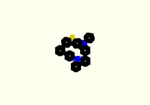 c1ccc(-c2ccc(Nc3ccccc3-c3cccc(-c4ccc5c(c4)c4cc6c(cc4n5-c4ccccc4)sc4ccccc46)c3)cc2)cc1